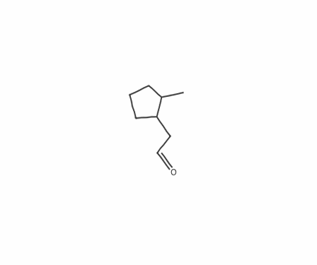 CC1CCCC1CC=O